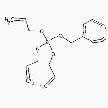 C=CC[O][Zr]([O]CC=C)([O]CC=C)[O]Cc1ccccc1